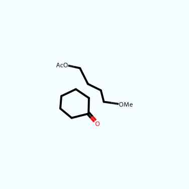 COCCCCOC(C)=O.O=C1CCCCC1